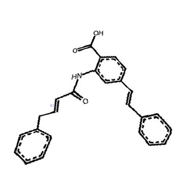 O=C(/C=C/Cc1ccccc1)Nc1cc(C=Cc2ccccc2)ccc1C(=O)O